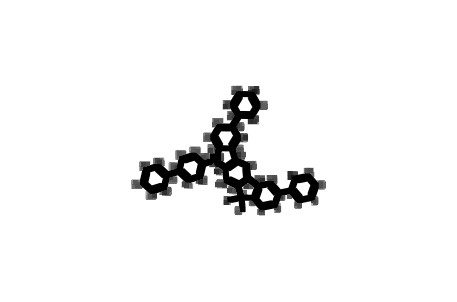 CC1(C)c2ccc(-c3ccccc3)cc2-c2cc3c4cc(-c5ccccc5)ccc4n(-c4ccc(-c5ccccc5)cc4)c3cc21